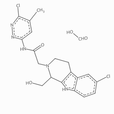 Cc1cc(NC(=O)CN2CCc3c([nH]c4ccc(Cl)cc34)C2CO)nnc1Cl.O=CO